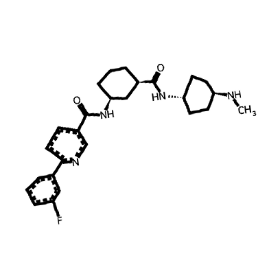 CN[C@H]1CC[C@H](NC(=O)[C@@H]2CCC[C@H](NC(=O)c3ccc(-c4cccc(F)c4)nc3)C2)CC1